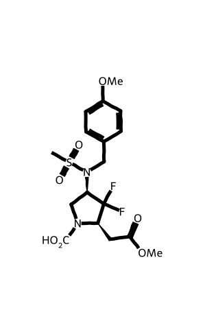 COC(=O)C[C@H]1N(C(=O)O)C[C@@H](N(Cc2ccc(OC)cc2)S(C)(=O)=O)C1(F)F